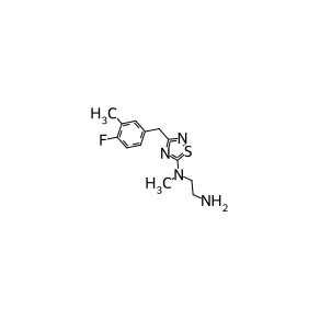 Cc1cc(Cc2nsc(N(C)CCN)n2)ccc1F